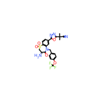 CC(C)(C#N)c1nnc(-c2ccc3c(c2)N(Cc2ccc(OC(F)(F)F)cc2)C(=O)[C@@H](N)CS3(=O)=O)o1